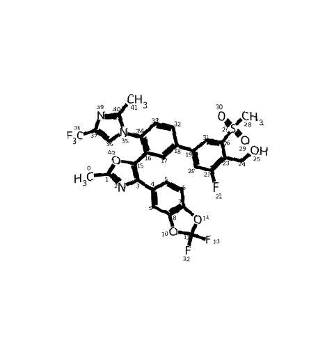 Cc1nc(-c2ccc3c(c2)OC(F)(F)O3)c(-c2cc(-c3cc(F)c(CO)c(S(C)(=O)=O)c3)ccc2-n2cc(C(F)(F)F)nc2C)o1